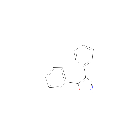 c1ccc(-c2cnoc2-c2ccccc2)cc1